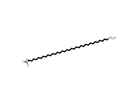 O=C(O)CCCCCCCCCCCCCCCCCCCCCCCCCCCCCCCCCC[SiH](Cl)Cl